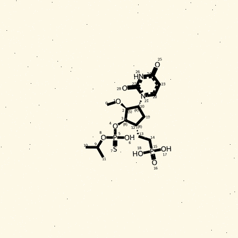 CO[C@@H]1[C@H](OP(O)(=S)OC(C)C)[C@@H](CCP(=O)(O)O)C[C@H]1n1ccc(=O)[nH]c1=O